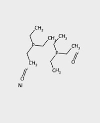 CCP(CC)CC.CCP(CC)CC.[C]=O.[C]=O.[Ni]